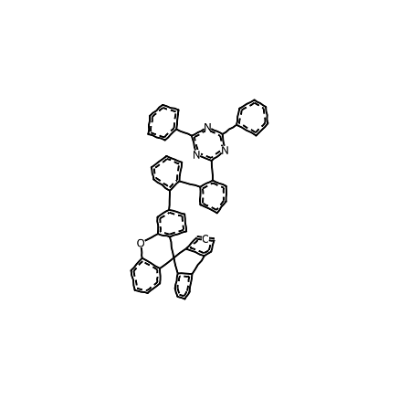 c1ccc(-c2nc(-c3ccccc3)nc(-c3ccccc3-c3ccccc3-c3ccc4c(c3)Oc3ccccc3C43c4ccccc4-c4ccccc43)n2)cc1